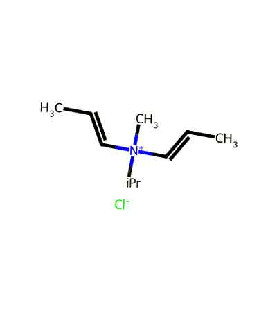 CC=C[N+](C)(C=CC)C(C)C.[Cl-]